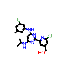 Cc1cc(F)cc(Nc2cc(NC(C)C)nc(-c3cc(CO)cc(Cl)n3)n2)c1